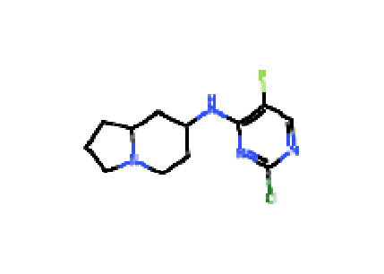 Fc1cnc(Cl)nc1NC1CCN2CCCC2C1